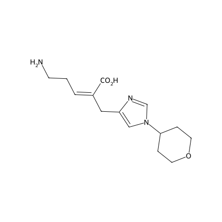 NCC/C=C(/Cc1cn(C2CCOCC2)cn1)C(=O)O